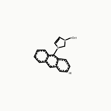 CCCCCCCCN1C=CN(c2c3ccccc3cc3ccccc23)C1.I